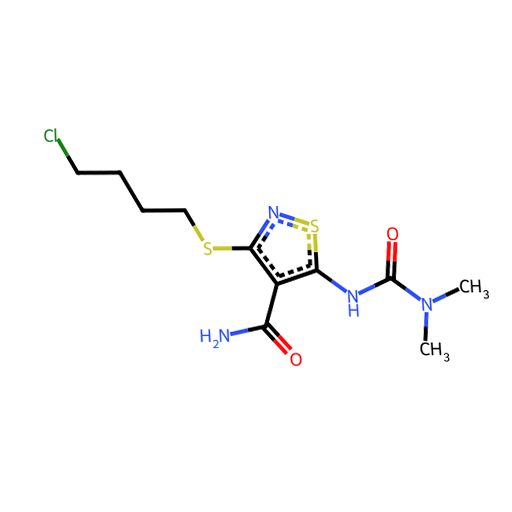 CN(C)C(=O)Nc1snc(SCCCCCl)c1C(N)=O